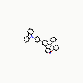 N#Cc1ccccc1[Si](c1ccccc1)(c1ccccc1)c1ccc(-c2ccc(-n3c4ccccc4c4ccccc43)cc2)cc1